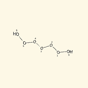 OOOOOOO